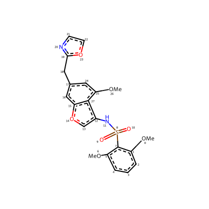 COc1cccc(OC)c1S(=O)(=O)Nc1coc2cc(Cc3ncco3)cc(OC)c12